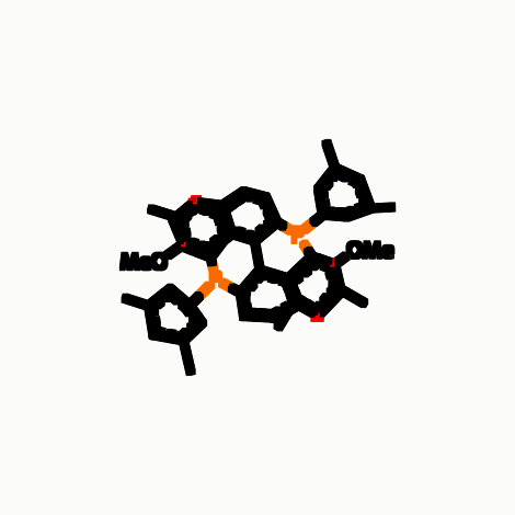 COc1ccc2ccc(P(c3cc(C)cc(C)c3)c3cc(C)cc(C)c3)c(-c3c(P(c4cc(C)cc(C)c4)c4cc(C)cc(C)c4)ccc4ccc(OC)cc34)c2c1